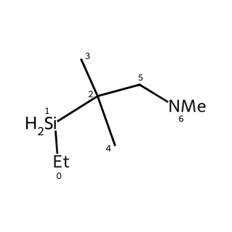 CC[SiH2]C(C)(C)CNC